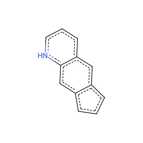 c1cc2cc3ccc[nH]c3cc2c1